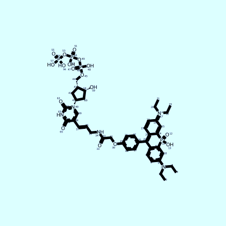 CCN(CC)c1ccc2c(c1)P(=O)(O)C1=CC(=[N+](CC)CC)C=CC1=C2c1ccc(OCC(=O)NC/C=C/c2cn([C@@H]3C[C@H](COP(=O)(O)OP(=O)(O)OP(=O)(O)O)[C@H](O)C3)c(=O)[nH]c2=O)cc1